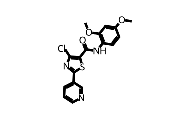 COc1ccc(NC(=O)c2sc(-c3cccnc3)nc2Cl)c(OC)c1